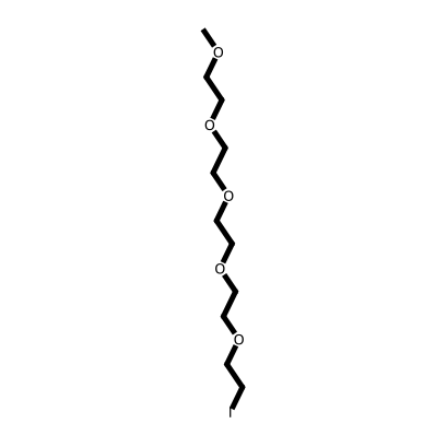 COCCOCCOCCOCCOCCI